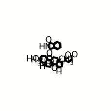 C[C@]12CC[C@H](O)C[C@H]1CC[C@@H]1[C@@H]2CC[C@]2(C)[C@@H](c3ccc(=O)oc3)C[C@H]3O[C@]132.O=C1NC(=O)c2ccccc21